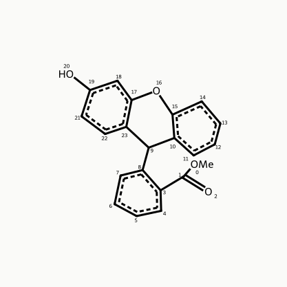 COC(=O)c1ccccc1C1c2ccccc2Oc2cc(O)ccc21